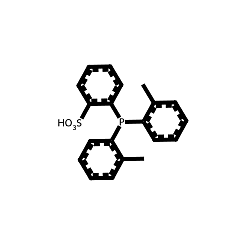 Cc1ccccc1P(c1ccccc1C)c1ccccc1S(=O)(=O)O